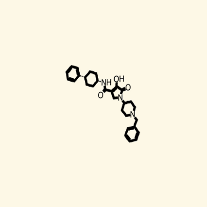 O=C(N[C@H]1CC[C@@H](c2ccccc2)CC1)C1=C(O)C(=O)N(C2CCN(Cc3ccccc3)CC2)C1